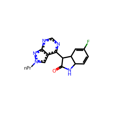 CCCn1cc2c(C3C(=O)NC4C=CC(F)=CC43)ncnc2n1